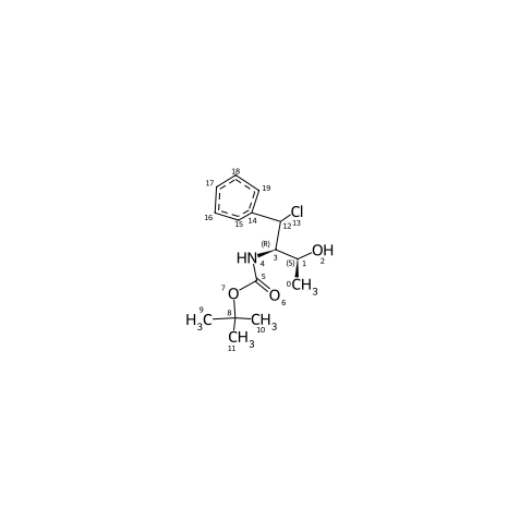 C[C@H](O)[C@@H](NC(=O)OC(C)(C)C)C(Cl)c1ccccc1